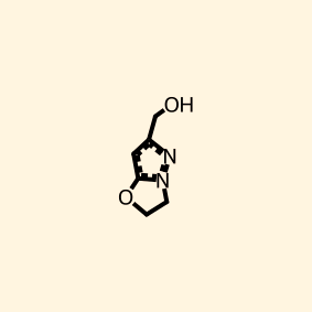 OCc1cc2n(n1)CCO2